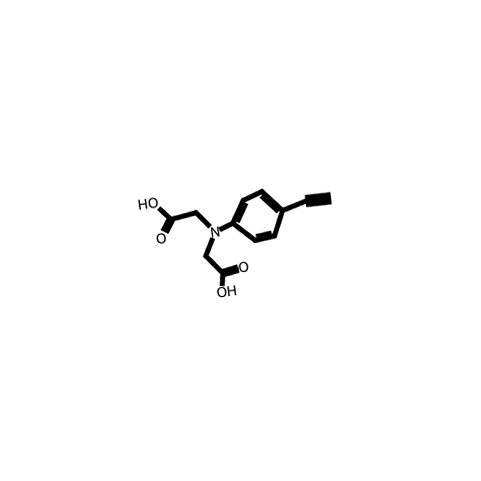 C#Cc1ccc(N(CC(=O)O)CC(=O)O)cc1